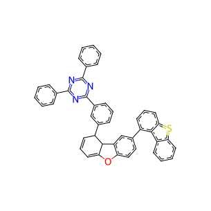 C1=CC(c2cccc(-c3nc(-c4ccccc4)nc(-c4ccccc4)n3)c2)C2C(=C1)Oc1ccc(-c3cccc4sc5ccccc5c34)cc12